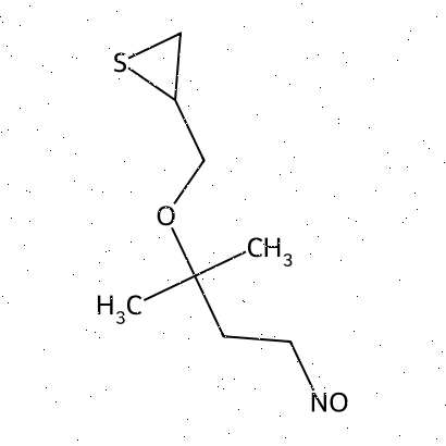 CC(C)(CCN=O)OCC1CS1